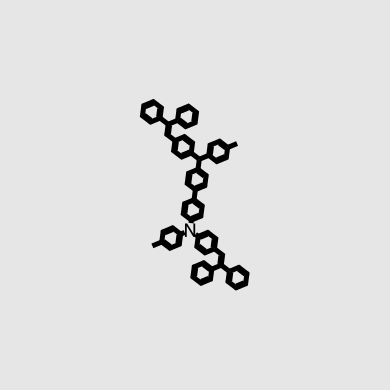 Cc1ccc(C(c2ccc(C=C(c3ccccc3)c3ccccc3)cc2)c2ccc(-c3ccc(N(c4ccc(C)cc4)c4ccc(C=C(c5ccccc5)c5ccccc5)cc4)cc3)cc2)cc1